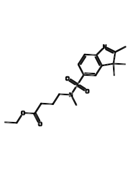 CCOC(=O)CCCN(C)S(=O)(=O)c1ccc2c(c1)C(C)(C)C(C)=N2